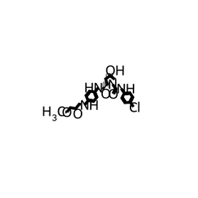 COCC(=O)CNc1ccc(NC(=O)[C@H]2C[C@@H](O)CN2C(=O)Nc2ccc(Cl)cc2)cc1